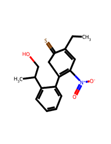 CCC1=CC([N+](=O)[O-])=C(c2ccccc2C(C)CO)CC1=S